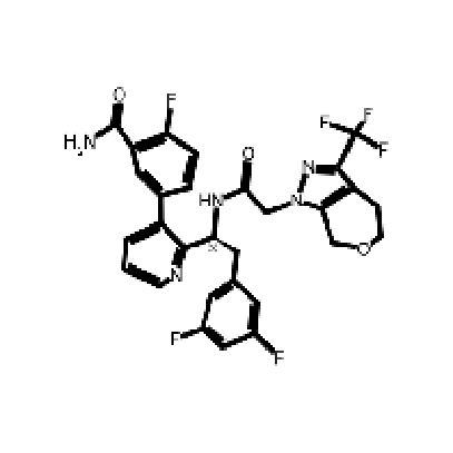 NC(=O)c1cc(-c2cccnc2[C@H](Cc2cc(F)cc(F)c2)NC(=O)Cn2nc(C(F)(F)F)c3c2COCC3)ccc1F